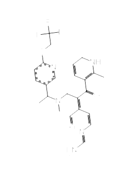 CC1=C(C(=O)\C(CN(C)C(C)c2ccc(OCC(F)(F)F)nc2)=C(C=O)/C=C\N=C\N)C=CCN1